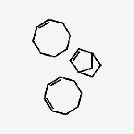 C1=CC2CCC1C2.C1=CCCCCC=C1.C1=CCCCCCC1